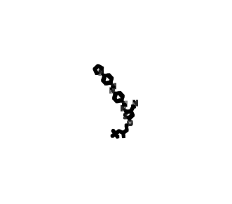 CC(CCOc1cc(C#N)c(/N=N/c2ccc(/N=N/c3ccc(N4CCCC4)cc3)cc2)s1)CC(C)(C)C